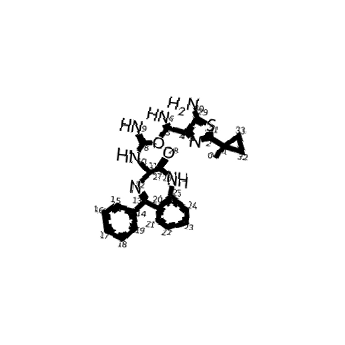 CC1(c2nc(C(=N)OC(=N)NC3N=C(c4ccccc4)c4ccccc4NC3=O)c(N)s2)CC1